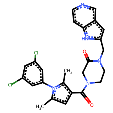 Cc1cc(C(=O)N2CCN(Cc3cc4cnccc4[nH]3)C(=O)C2)c(C)n1-c1cc(Cl)cc(Cl)c1